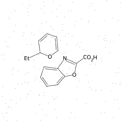 CCC1C=CC=CO1.O=C(O)c1nc2ccccc2o1